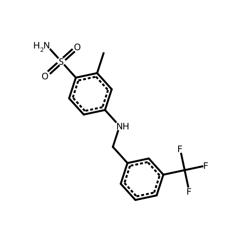 Cc1cc(NCc2cccc(C(F)(F)F)c2)ccc1S(N)(=O)=O